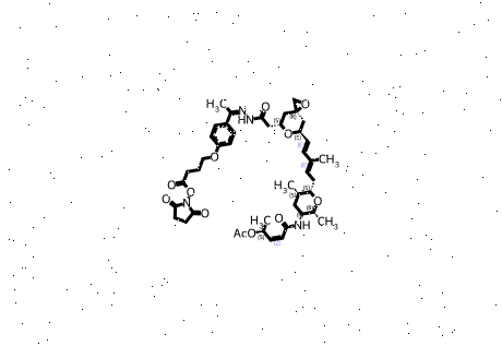 CC(=O)O[C@@H](C)/C=C\C(=O)N[C@@H]1C[C@H](C)[C@H](C/C=C(C)/C=C/[C@@H]2C[C@@]3(CO3)C[C@@H](CC(=O)NN=C(C)c3ccc(OCCCC(=O)ON4C(=O)CCC4=O)cc3)O2)O[C@@H]1C